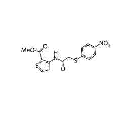 COC(=O)c1sccc1NC(=O)CSc1ccc([N+](=O)[O-])cc1